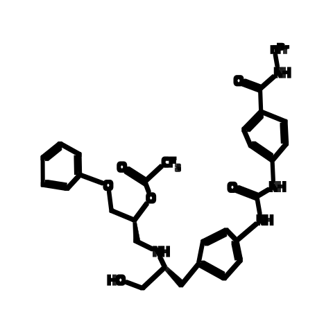 CCCNC(=O)c1ccc(NC(=O)Nc2ccc(C[C@@H](CO)NC[C@@H](COc3ccccc3)OC(=O)C(F)(F)F)cc2)cc1